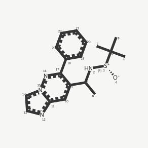 CC(N[S@@+]([O-])C(C)(C)C)c1cc2nccn2nc1-c1ccccc1